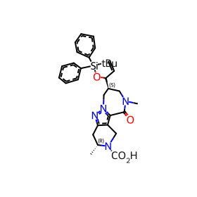 C=CC(O[Si](c1ccccc1)(c1ccccc1)C(C)(C)C)[C@H]1CN(C)C(=O)c2c3c(nn2C1)C[C@@H](C)N(C(=O)O)C3